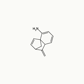 C=C1C2C=CC3(C2)C(N)=CC=CC13